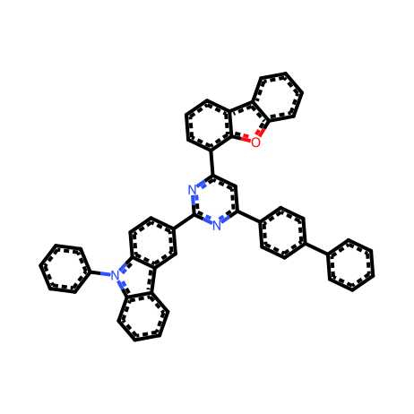 c1ccc(-c2ccc(-c3cc(-c4cccc5c4oc4ccccc45)nc(-c4ccc5c(c4)c4ccccc4n5-c4ccccc4)n3)cc2)cc1